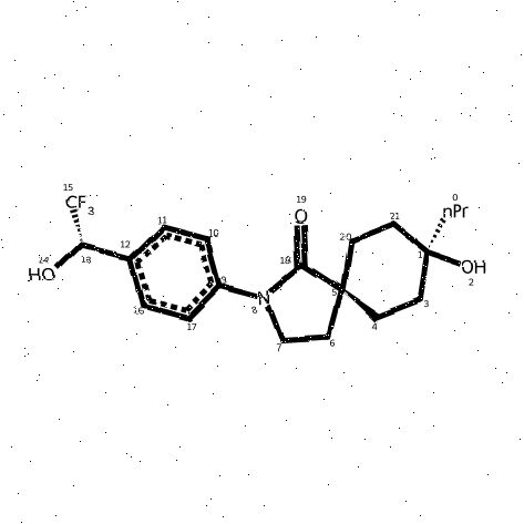 CCC[C@]1(O)CC[C@]2(CCN(c3ccc([C@H](O)C(F)(F)F)cc3)C2=O)CC1